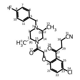 C[C@@H]1CN(Cc2ccc(F)cc2)[C@@H](C)CN1C(=O)COc1ccc(Cl)cc1C(=O)CCC#N